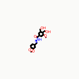 COc1cc(C(=O)N/N=C/c2ccc3c(c2)OCO3)cc(CO)c1CO